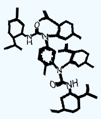 Cc1ccc(N(C(=O)NC2CC(C)CCC2C(C)C)C2CC(C)CCC2C(C)C)cc1N(C(=O)NC1CC(C)CCC1C(C)C)C1CC(C)CCC1C(C)C